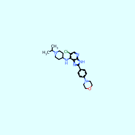 CC(C)N1CCC(Nc2c(Cl)cnc3[nH]c(-c4ccc(N5CCOCC5)cc4)nc23)CC1